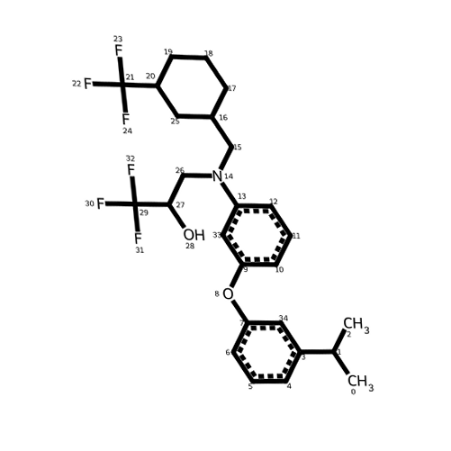 CC(C)c1cccc(Oc2cccc(N(CC3CCCC(C(F)(F)F)C3)CC(O)C(F)(F)F)c2)c1